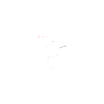 CC(C)/C=C/C(C)C(C)(C)O